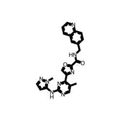 Cc1cnc(Nc2ccnn2C)nc1-c1coc(C(=O)NCc2ccc3ncccc3c2)n1